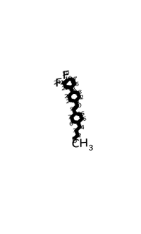 CCCCCC1CCC(C=CC2CCC(c3ccc(F)c(F)c3)CC2)CC1